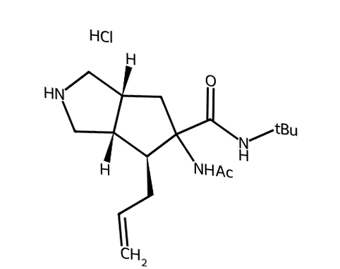 C=CC[C@H]1[C@@H]2CNC[C@@H]2CC1(NC(C)=O)C(=O)NC(C)(C)C.Cl